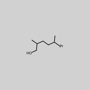 CC(CO)CCC(C)C(C)C